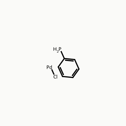 Pc1ccccc1.[Cl][Pd]